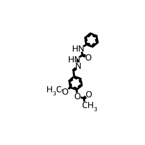 COc1cc(/C=N/NC(=O)Nc2ccccc2)ccc1OC(C)=O